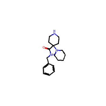 O=C(NCc1ccccc1)C1(N2CCCCC2)CCNCC1